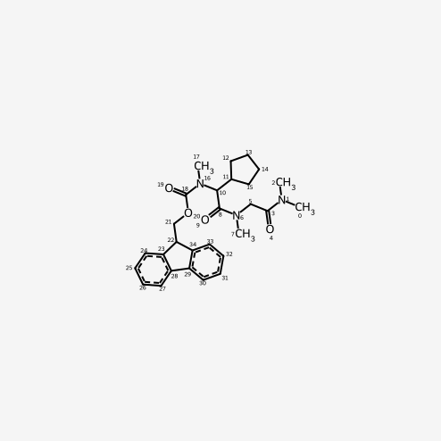 CN(C)C(=O)CN(C)C(=O)C(C1CCCC1)N(C)C(=O)OCC1c2ccccc2-c2ccccc21